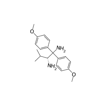 COc1ccc(C(N)(c2ccc(OC)cc2)[C@H](N)C(C)C)cc1